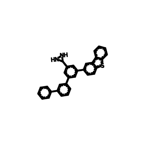 c1ccc(-c2cccc(-c3cc(-c4ccc5sc6ccccc6c5c4)cc(C4NN4)c3)c2)cc1